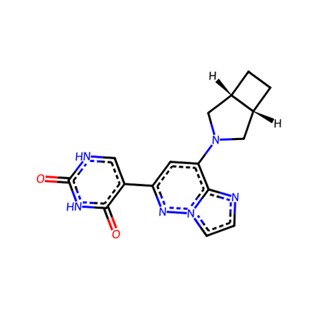 O=c1[nH]cc(-c2cc(N3C[C@H]4CC[C@H]4C3)c3nccn3n2)c(=O)[nH]1